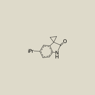 CC(C)c1ccc2c(c1)C1(CC1)C(=O)N2